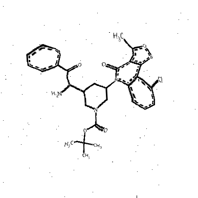 Cc1onc2c1c(=O)n(C1CC(C(N)C(=O)c3ccccc3)CN(C(=O)OC(C)(C)C)C1)c1cccc(Cl)c21